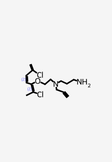 C#CCN(CCCN)CCOC(/C=C\C(=C)Cl)=C(/C)Cl